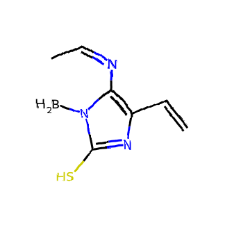 Bn1c(S)nc(C=C)c1/N=C\C